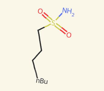 CCCCCCCS(N)(=O)=O